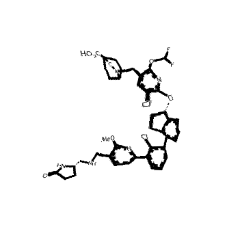 COc1nc(-c2cccc(-c3cccc4c3CC[C@@H]4Oc3nc(OC(F)F)c(CN4CC5(C(=O)O)CCC4CC5)cc3Cl)c2Cl)ccc1CNC[C@@H]1CCC(=O)N1